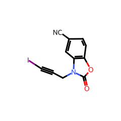 N#Cc1ccc2oc(=O)n(CC#CI)c2c1